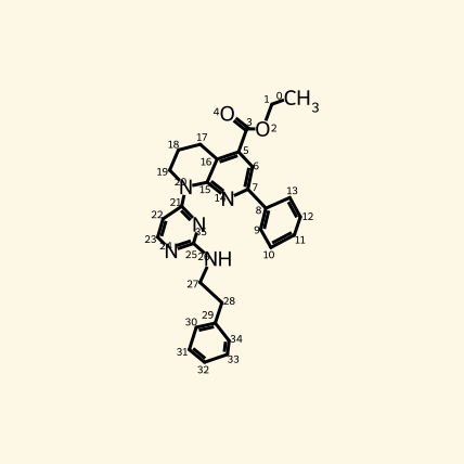 CCOC(=O)c1cc(-c2ccccc2)nc2c1CCCN2c1ccnc(NCCc2ccccc2)n1